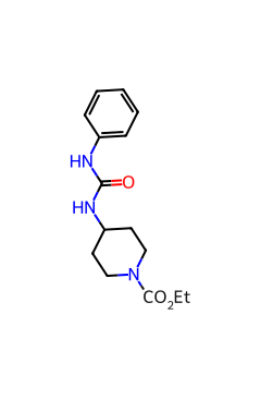 CCOC(=O)N1CCC(NC(=O)Nc2ccccc2)CC1